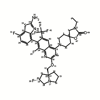 CCN1CC2(CCN(c3nc(OC[C@@]45CCCN4C[C@H](F)C5)nc4c(F)c(-c5ccc(F)c6sc(N)nc56)c(C(F)(F)F)cc34)CC2)OC1=O